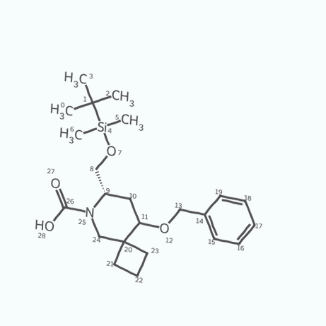 CC(C)(C)[Si](C)(C)OC[C@@H]1CC(OCc2ccccc2)C2(CCC2)CN1C(=O)O